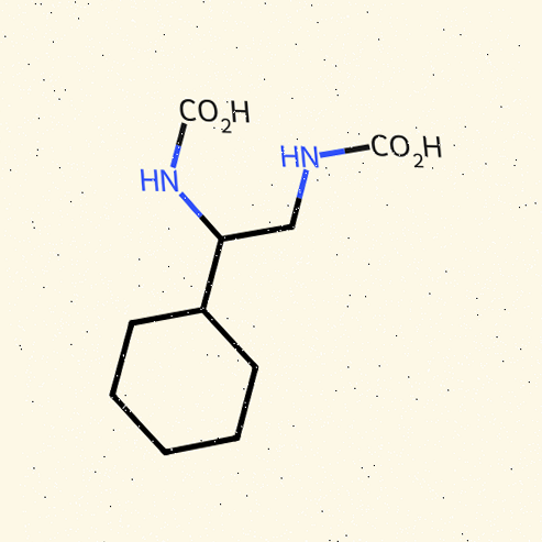 O=C(O)NCC(NC(=O)O)C1CCCCC1